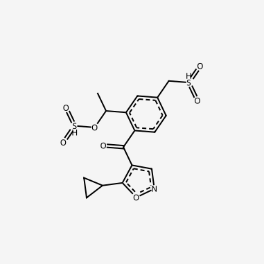 CC(O[SH](=O)=O)c1cc(C[SH](=O)=O)ccc1C(=O)c1cnoc1C1CC1